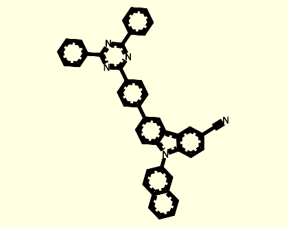 N#Cc1ccc2c(c1)c1cc(-c3ccc(-c4nc(-c5ccccc5)nc(-c5ccccc5)n4)cc3)ccc1n2-c1ccc2ccccc2c1